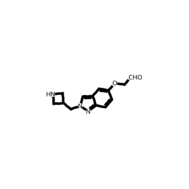 O=CCOc1ccc2nn(CC3CNC3)cc2c1